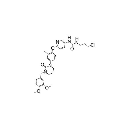 COc1ccc(CN2CCCN(c3ccc(Oc4ccc(NC(=O)NCCCCl)cn4)c(C)c3)C2=O)cc1OC